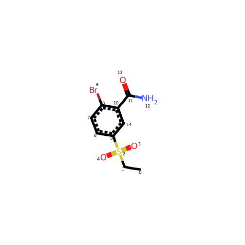 CCS(=O)(=O)c1ccc(Br)c(C(N)=O)c1